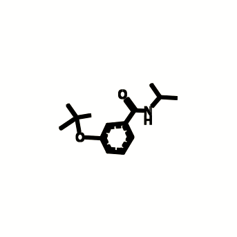 CC(C)NC(=O)c1cccc(OC(C)(C)C)c1